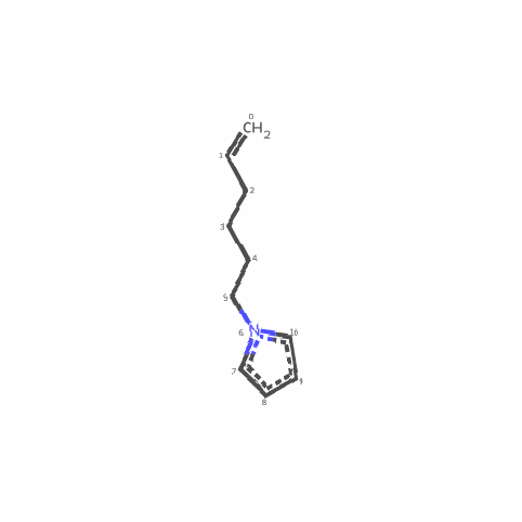 C=CCCCCn1cccc1